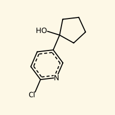 OC1(c2ccc(Cl)nc2)CCCC1